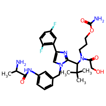 CC(N)C(=O)Nc1cccc(Cn2cc(-c3cc(F)ccc3F)nc2C(N(CCCOC(N)=O)C(=O)CO)C(C)(C)C)c1